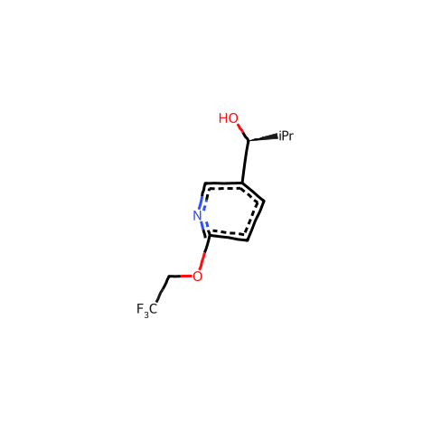 CC(C)[C@H](O)c1ccc(OCC(F)(F)F)nc1